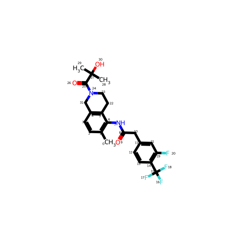 Cc1ccc2c(c1NC(=O)Cc1ccc(C(F)(F)F)c(F)c1)CCN(C(=O)C(C)(C)O)C2